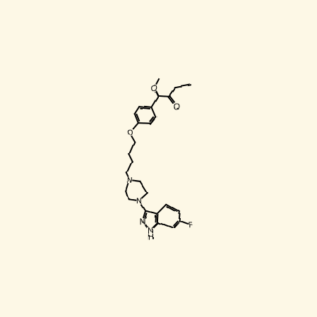 CCC(=O)C(OC)c1ccc(OCCCCN2CCN(c3n[nH]c4cc(F)ccc34)CC2)cc1